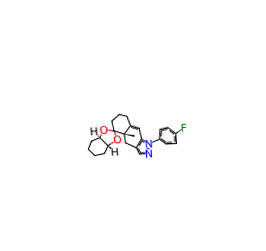 C[C@]12Cc3cnn(-c4ccc(F)cc4)c3C=C1CCCC21O[C@@H]2CCCC[C@H]2O1